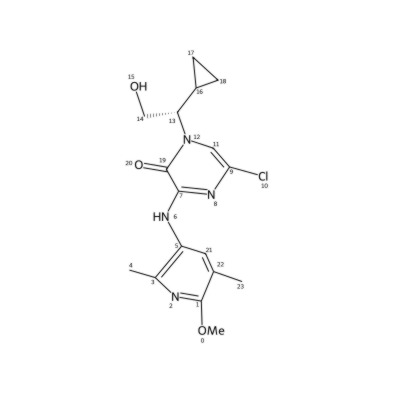 COc1nc(C)c(Nc2nc(Cl)cn([C@H](CO)C3CC3)c2=O)cc1C